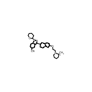 C[C@H]1CCCCN1CCOc1ccc2cc(-c3nn(C4CCCCO4)c4ccc(C#N)cc34)ccc2c1